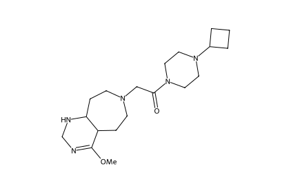 COC1=NCNC2CCN(CC(=O)N3CCN(C4CCC4)CC3)CCC12